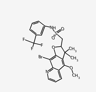 COc1c2c(c(Br)c3ncccc13)OC(CS(=O)(=O)Nc1cccc(C(F)(F)F)c1)C2(C)C